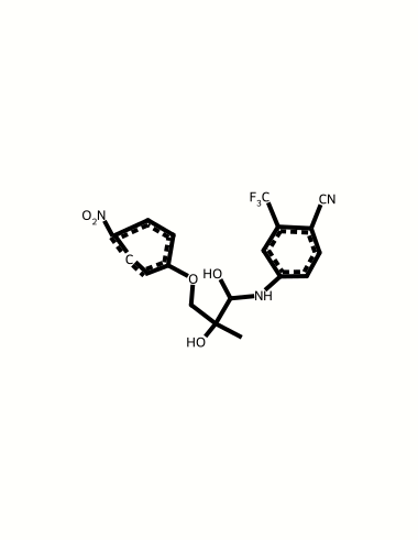 CC(O)(COc1ccc([N+](=O)[O-])cc1)C(O)Nc1ccc(C#N)c(C(F)(F)F)c1